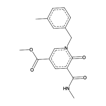 CNC(=O)c1cc(C(=O)OC)cn(Cc2cccc(C)c2)c1=O